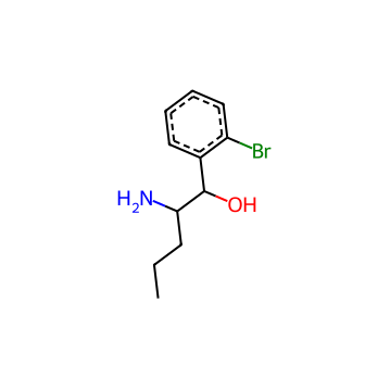 CCCC(N)C(O)c1ccccc1Br